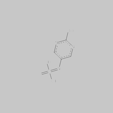 CC(C)(C)c1ncc(N=S(C)(C)=O)cn1